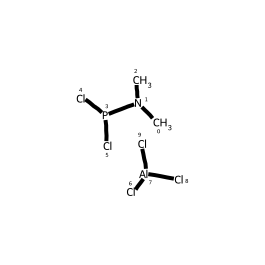 CN(C)P(Cl)Cl.[Cl][Al]([Cl])[Cl]